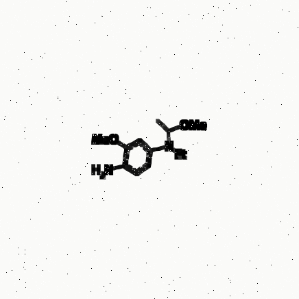 CCN(c1ccc(N)c(OC)c1)C(C)OC